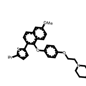 COc1ccc2c(Oc3ccc(OCCN4CCCCC4)cc3)c(-c3ccc(C(C)C)s3)ccc2c1